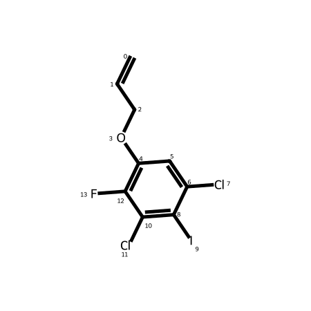 C=CCOc1cc(Cl)c(I)c(Cl)c1F